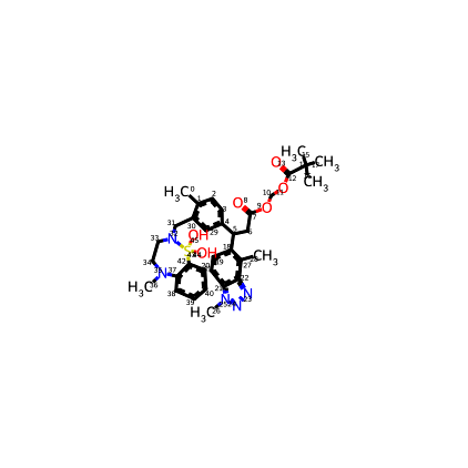 Cc1ccc(C(CC(=O)OCOC(=O)C(C)(C)C)c2ccc3c(nnn3C)c2C)cc1CN1CCN(C)c2ccccc2S1(O)O